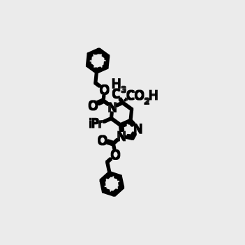 CC(C)C1c2c(ncn2C(=O)OCc2ccccc2)C[C@@](C)(C(=O)O)N1C(=O)OCc1ccccc1